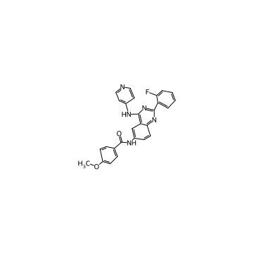 COc1ccc(C(=O)Nc2ccc3nc(-c4ccccc4F)nc(Nc4ccncc4)c3c2)cc1